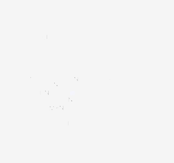 CN/N=C(\N=N)N(Cc1cc(C(F)(F)F)cc(C(F)(F)F)c1)Cc1cc(C(F)(F)F)ccc1C(=O)CC1CCCC1